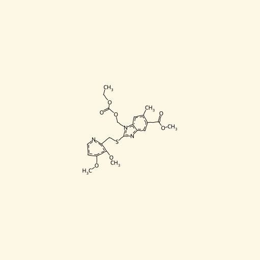 CCOC(=O)OCn1c(SCc2nccc(OC)c2OC)nc2cc(C(=O)OC)c(C)cc21